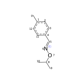 Cc1ccc(/C=N/OC(C)C)cc1